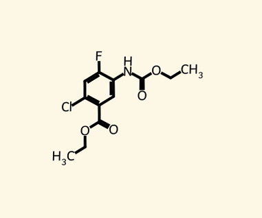 CCOC(=O)Nc1cc(C(=O)OCC)c(Cl)cc1F